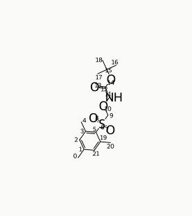 Cc1cc(C)c(S(=O)(=O)CONC(=O)OC(C)(C)C)c(C)c1